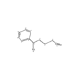 CCC(CCCOC)c1ccccc1